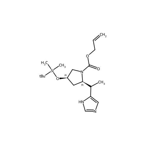 C=CCOC(=O)N1C[C@H](O[Si](C)(C)C(C)(C)C)C[C@@H]1C(C)c1cnc[nH]1